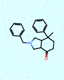 CC1(c2ccccc2)CCC(=O)C2CN(Cc3ccccc3)CC21